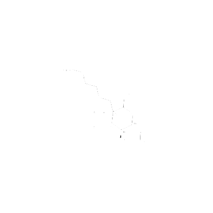 CCCCOCCOC[C@@]1(OC(C)=O)C(OC(C)=O)O[C@H](COC(C)=O)[C@@H](OC(C)=O)[C@@H]1OC(C)=O